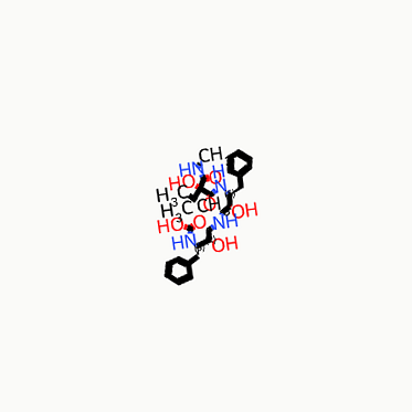 CNC(=O)C(O)(C(=O)N[C@@H](Cc1ccccc1)C(O)CNC[C@@H](O)[C@H](Cc1ccccc1)NC(=O)O)C(C)(C)C